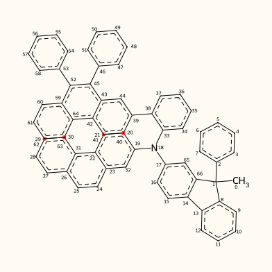 CC1(c2ccccc2)c2ccccc2-c2ccc(N(c3ccc4c(ccc5ccccc54)c3)c3ccccc3-c3ccc4c(c3)c(-c3ccccc3)c(-c3ccccc3)c3ccccc34)cc21